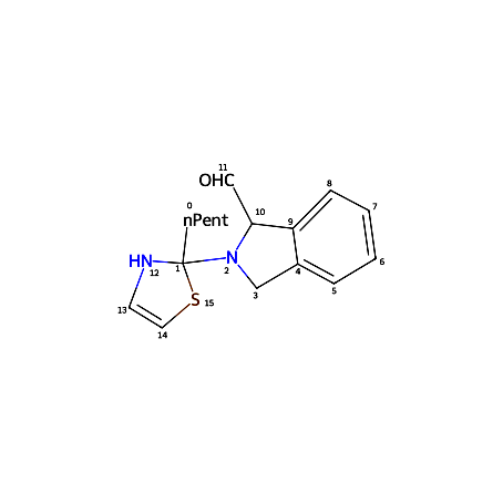 CCCCCC1(N2Cc3ccccc3C2C=O)NC=CS1